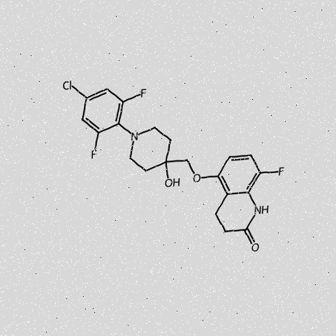 O=C1CCc2c(OCC3(O)CCN(c4c(F)cc(Cl)cc4F)CC3)ccc(F)c2N1